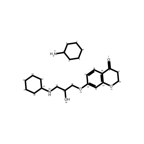 NC1CCCCC1.O=C1CCOc2cc(OCC(O)CNC3CCCCC3)ccc21